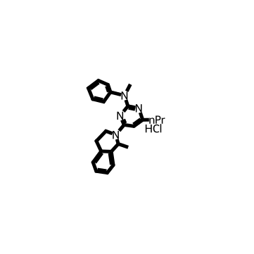 CCCc1cc(N2CCc3ccccc3C2C)nc(N(C)c2ccccc2)n1.Cl